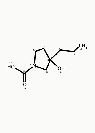 CCCC1(O)CCN(C(=O)O)C1